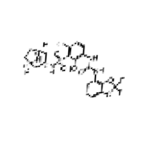 O=C(Nc1ccc(Cl)c(S(=O)(=O)N[C@@H]2C[C@H]3CC[C@@H](C2)N3)c1O)Nc1cccc2c1OC(F)(F)O2